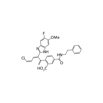 C=C(/C(=C\C=C/Cl)c1nc2cc(F)c(OC)cc2[nH]1)c1ccc(C(=O)NCCc2ccccc2)cc1C(=O)O